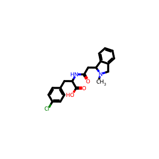 CN1Cc2ccccc2C1CC(=O)NC(Cc1ccc(Cl)cc1)C(=O)O